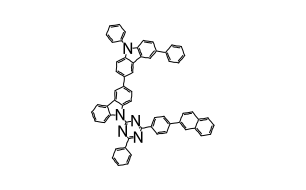 c1ccc(-c2ccc3c(c2)c2cc(-c4ccc5c(c4)c4ccccc4n5-c4nc(-c5ccccc5)nc(-c5ccc(-c6ccc7ccccc7c6)cc5)n4)ccc2n3-c2ccccc2)cc1